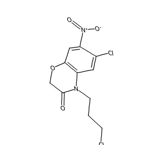 O=C1COc2cc([N+](=O)[O-])c(Cl)cc2N1CCCCl